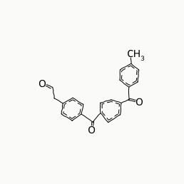 Cc1ccc(C(=O)c2ccc(C(=O)c3ccc(CC=O)cc3)cc2)cc1